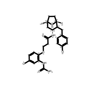 NC(=O)Nc1cc(Cl)ccc1OCCC(=O)N[C@@H]1C[C@@H]2CC[C@@H](N2)C1Cc1ccc(Cl)cc1